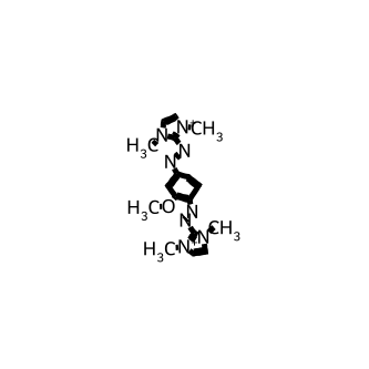 COc1cc(N=Nc2n(C)cc[n+]2C)ccc1N=Nc1n(C)cc[n+]1C